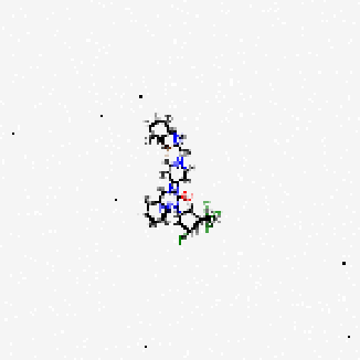 O=C(Nc1cc(F)cc(C(F)(F)F)c1)N(Cc1ccccc1)C1CCN(Cc2nc3ccccc3s2)CC1